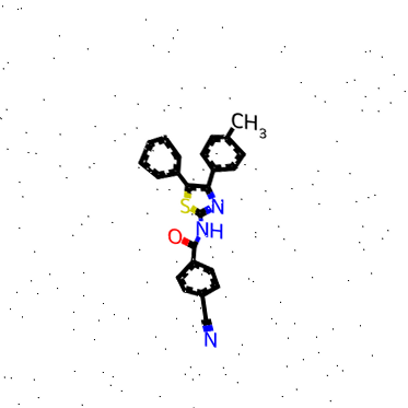 Cc1ccc(-c2nc(NC(=O)c3ccc(C#N)cc3)sc2-c2ccccc2)cc1